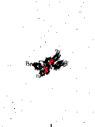 Clc1ccccc1C1(C2(c3ccccc3Cl)N=C(c3ccc(Br)cc3)C(c3ccc(Br)cc3)=N2)N=C(c2ccc(Br)cc2)C(c2ccc(Br)cc2)=N1